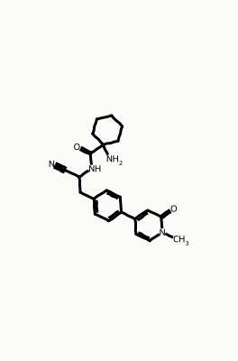 Cn1ccc(-c2ccc(CC(C#N)NC(=O)C3(N)CCCCC3)cc2)cc1=O